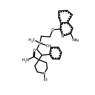 CCCCc1cc2ccccc2c(OCC[N+](C)(C)CC(c2ccccc2)C2(C(N)=O)CCN(CC)CC2)n1